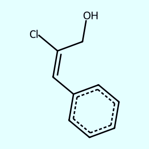 OC/C(Cl)=C\c1ccccc1